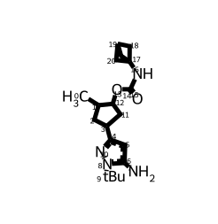 CC1CC(c2cc(N)n(C(C)(C)C)n2)CC1OC(=O)NC12CC(C1)C2